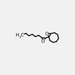 CCCCCCC1OC1C12CCCCCCC1O2